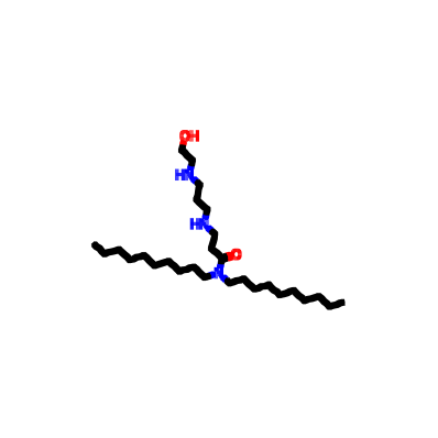 CCCCCCCCCCN(CCCCCCCCCC)C(=O)CCNCCCNCCO